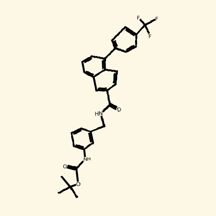 CC(C)(C)OC(=O)Nc1cccc(CNC(=O)c2ccc3c(-c4ccc(C(F)(F)F)cc4)cccc3c2)c1